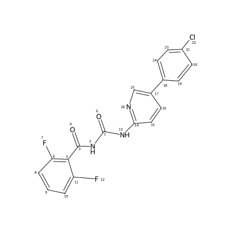 O=C(NC(=O)c1c(F)cccc1F)Nc1ccc(-c2ccc(Cl)cc2)cn1